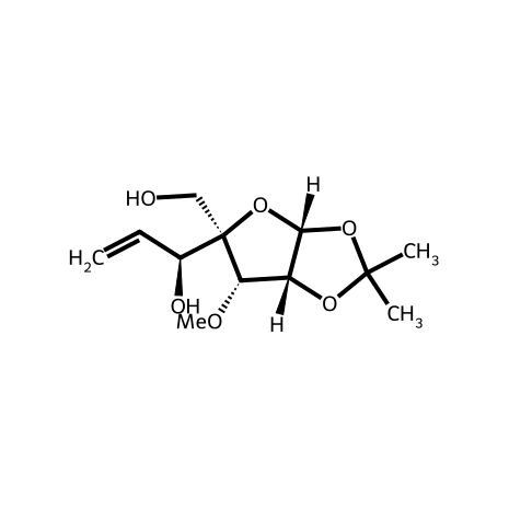 C=C[C@H](O)[C@@]1(CO)O[C@@H]2OC(C)(C)O[C@@H]2[C@@H]1OC